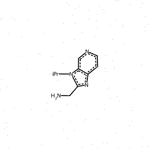 CC(C)n1c(CN)nc2ccncc21